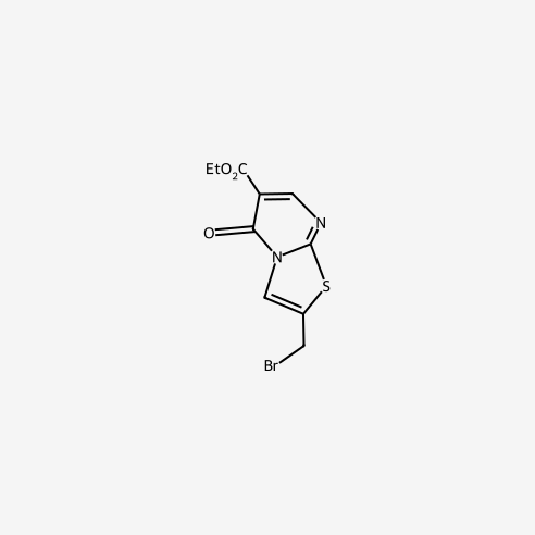 CCOC(=O)c1cnc2sc(CBr)cn2c1=O